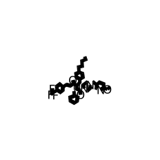 CCCCCc1ccc(CN(C(=O)C=Cc2ccc(C(F)(F)F)cc2)[C@@H](Cc2ccccc2)C(=O)N2CCN(Cc3ccc(OC)nc3)CC2)cc1